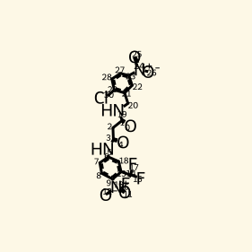 O=C(CC(=O)Nc1ccc([N+](=O)[O-])c(C(F)(F)F)c1)NCc1cc([N+](=O)[O-])ccc1Cl